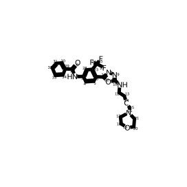 O=C(Nc1ccc(-c2nnc(NCCCCN3CCOCC3)o2)c(C(F)(F)F)c1)c1ccccc1